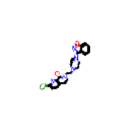 O=C1c2nc(Cl)ccc2CCN1CCN1CCN(c2noc3ccccc23)CC1